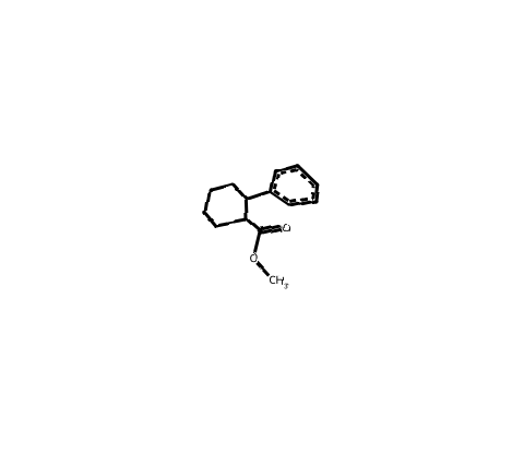 COC(=O)C1CCCCC1c1ccccc1